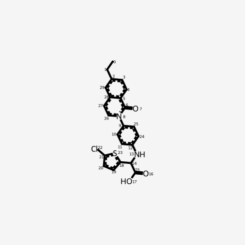 CCc1ccc2c(=O)n(-c3ccc(NC(C(=O)O)c4ccc(Cl)s4)cc3)ccc2c1